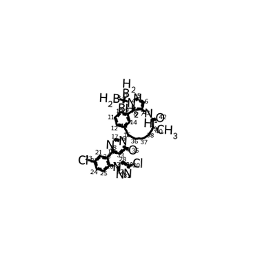 BC(B)(B)n1ncc2c1-c1cccc(c1)[C@@H](n1cnc(-c3cc(Cl)ccc3-n3cc(Cl)nn3)cc1=O)CCC[C@@H](C)C(=O)N2